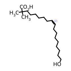 CC(C)(CCCCCC/C=C\CCCCCCCCO)C(=O)O